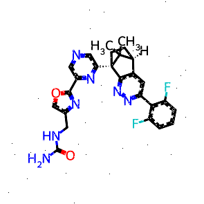 CC1(C)[C@H]2CC[C@]1(c1cncc(-c3nc(CNC(N)=O)co3)n1)c1nnc(-c3c(F)cccc3F)cc12